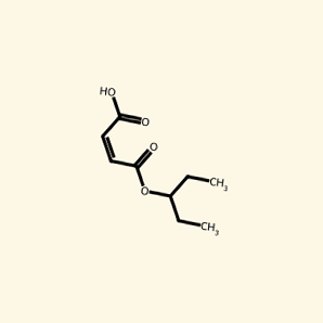 CCC(CC)OC(=O)/C=C\C(=O)O